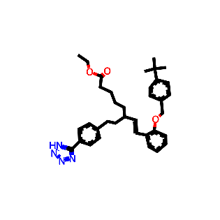 CCOC(=O)CCCCC(/C=C/c1ccccc1OCc1ccc(C(C)(C)C)cc1)CCc1ccc(-c2nnn[nH]2)cc1